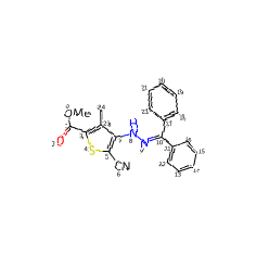 COC(=O)c1sc(C#N)c(NN=C(c2ccccc2)c2ccccc2)c1C